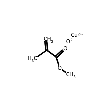 C=C(C)C(=O)OC.[Cu+2].[O-2]